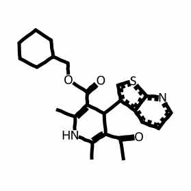 CC(=O)C1=C(C)NC(C)=C(C(=O)OCC2CCCCC2)C1c1csc2ncccc12